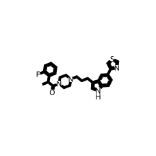 CC(C(=O)N1CCN(CCCc2c[nH]c3ccc(-c4cscn4)cc23)CC1)c1ccccc1F